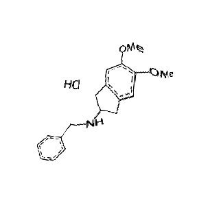 COc1cc2c(cc1OC)CC(NCc1ccccc1)C2.Cl